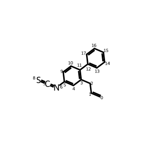 C=CCc1cc(N=C=S)ccc1-c1ccccc1